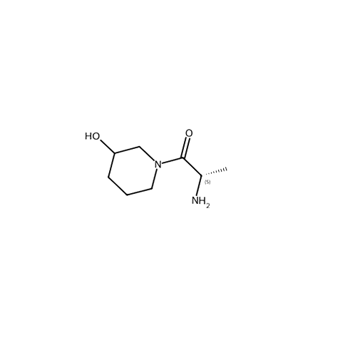 C[C@H](N)C(=O)N1CCCC(O)C1